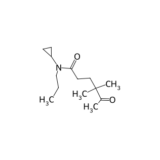 CCCN(C(=O)CCC(C)(C)C(C)=O)C1CC1